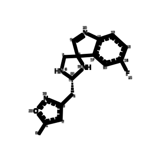 Cc1cc(C[C@@H]2NCC3(C=Nc4ccc(F)cc43)N2)no1